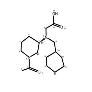 CC(=O)N1CCC[C@@H](N(CC(=O)O)CC2CCCCC2)C1